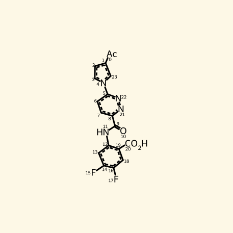 CC(=O)c1ccn(-c2ccc(C(=O)Nc3cc(F)c(F)cc3C(=O)O)nn2)c1